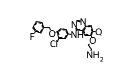 COc1cc2ncnc(Nc3ccc(OCc4cccc(F)c4)c(Cl)c3)c2cc1OCCN